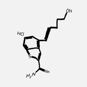 Cl.N=C(N)c1cc2c(C=CCCCO)cccc2s1